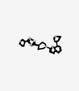 c1cncc(-c2noc(C3CCN(c4ccc5cccc(-c6ccncc6)c5n4)CC3)n2)c1